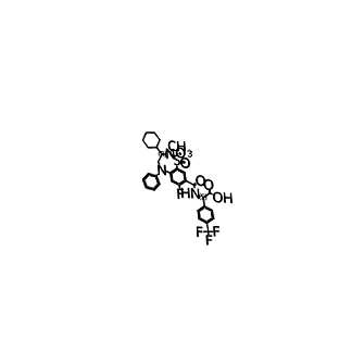 CN1[C@H](C2CCCCC2)CN(c2ccccc2)c2cc(F)c(C(=O)N[C@H](C(=O)O)c3ccc(C(F)(F)F)cc3)cc2S1(=O)=O